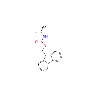 CC(=O)[C@H](C)NC(=O)OCC1c2ccccc2-c2ccccc21